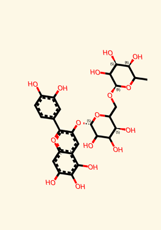 CC1O[C@@H](OCC2O[C@@H](Oc3cc4c(O)c(O)c(O)cc4[o+]c3-c3ccc(O)c(O)c3)C(O)C(O)[C@@H]2O)C(O)[C@@H](O)[C@H]1O